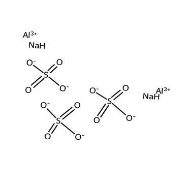 O=S(=O)([O-])[O-].O=S(=O)([O-])[O-].O=S(=O)([O-])[O-].[Al+3].[Al+3].[NaH].[NaH]